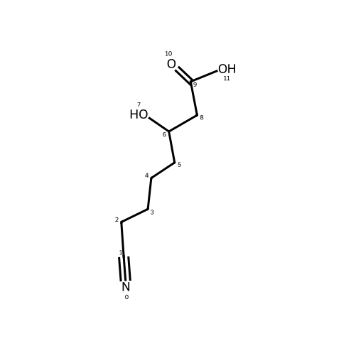 N#CCCCCC(O)CC(=O)O